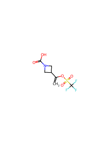 C=C(OS(=O)(=O)C(F)(F)F)C1CN(C(=O)O)C1